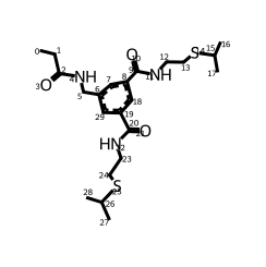 CCC(=O)NCc1cc(C(=O)NCCSC(C)C)cc(C(=O)NCCSC(C)C)c1